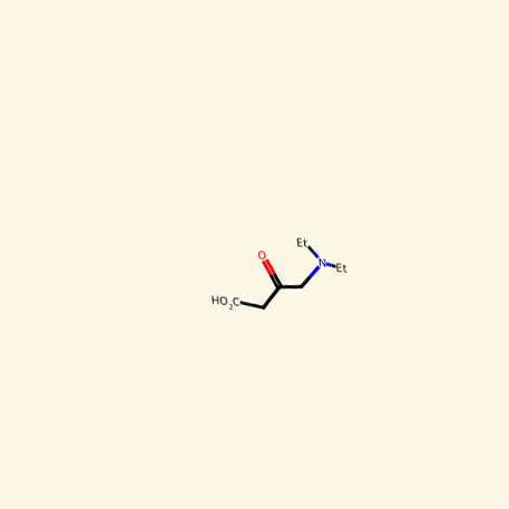 CCN(CC)CC(=O)CC(=O)O